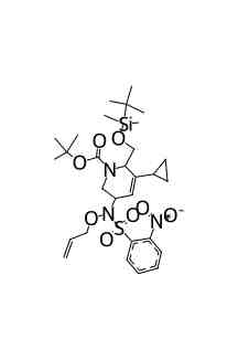 C=CCON(C1C=C(C2CC2)C(CO[Si](C)(C)C(C)(C)C)N(C(=O)OC(C)(C)C)C1)S(=O)(=O)c1ccccc1[N+](=O)[O-]